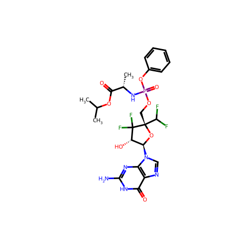 CC(C)OC(=O)[C@H](C)NP(=O)(OC[C@@]1(C(F)F)O[C@@H](n2cnc3c(=O)[nH]c(N)nc32)[C@H](O)C1(F)F)Oc1ccccc1